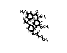 COCC(=O)Nc1ccc(-n2cnc3c(C)cc(C(=O)N(C)c4ccc(F)c(OC)c4)cc32)cn1